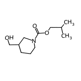 CC(C)COC(=O)N1CCCC(CO)C1